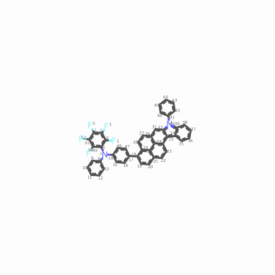 Fc1c(F)c(F)c(N(c2ccccc2)c2ccc(-c3ccc4ccc5c6c(ccc3c46)cc3c5c4ccccc4n3-c3ccccc3)cc2)c(F)c1F